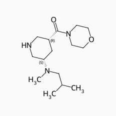 CC(C)CN(C)[C@@H]1CNC[C@H](C(=O)N2CCOCC2)C1